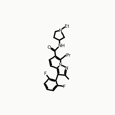 CCN1CCC(NC(=O)c2ccc3c(-c4c(F)cccc4F)c(C)nn3c2C(C)C)C1